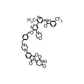 Cc1ncc(NC(=O)c2cccc(C(F)(F)F)c2)cc1-c1cnc(OCc2ccc(CN3CCN(c4ccc5c(c4)C(=O)N([C@H]4CCC(=O)NC4=O)C5=O)CC3)cc2)c(N2CCOCC2)c1